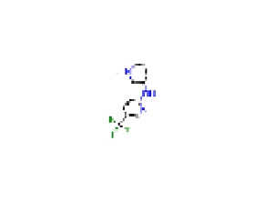 CN1CCCC(Nc2ccc(C(F)(F)F)cn2)C1